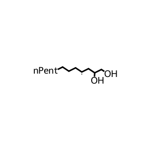 CCCCCCCC[CH]CC(O)CO